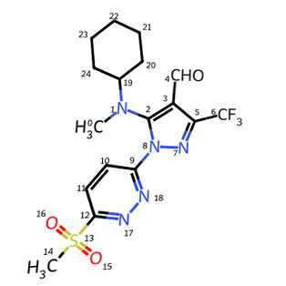 CN(c1c(C=O)c(C(F)(F)F)nn1-c1ccc(S(C)(=O)=O)nn1)C1CCCCC1